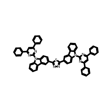 c1ccc(-c2cc(-c3ccccc3)nc(-n3c4ccccc4c4cc(-c5nnc(-c6ccc7c(c6)c6ccccc6n7-c6nc(-c7ccccc7)cc(-c7ccccc7)n6)s5)ccc43)n2)cc1